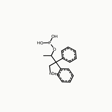 CCCCCCCCCCCC(c1ccccc1)(c1ccccc1)C(C)OP(O)O